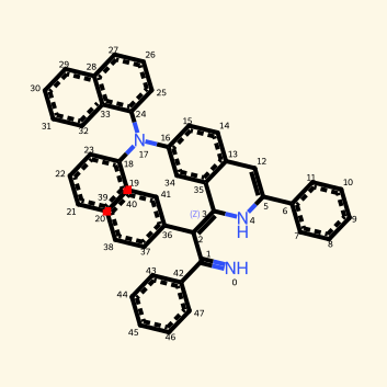 N=C(/C(=C1\NC(c2ccccc2)=Cc2ccc(N(c3ccccc3)c3cccc4ccccc34)cc21)c1ccccc1)c1ccccc1